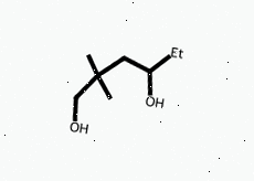 CCC(O)CC(C)(C)CO